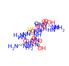 N=C(N)NCCC[C@H](NC(=O)[C@H](Cc1ccccc1)NC(=O)[C@@H]1CCCN1C(=O)[C@H](CS)NC(=O)[C@H](Cc1ccccc1)NC(=O)CNC(=O)[C@@H]1C[C@@H](O)CN1C(=O)[C@@H]1CCCN1C(=O)[C@H](CCCNC(=N)N)NC(=O)[C@@H](N)CCCCN)C(=O)O